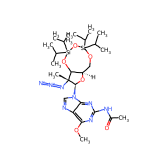 COc1nc(NC(C)=O)nc2c1ncn2[C@@H]1O[C@@H]2CO[Si](C(C)C)(C(C)C)O[Si](C(C)C)(C(C)C)OC2[C@@]1(C)N=[N+]=[N-]